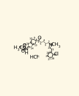 CN(CCCCC(=O)c1ccc2c(c1)CC(NS(C)(=O)=O)C2)CCc1ccccc1Cl.Cl